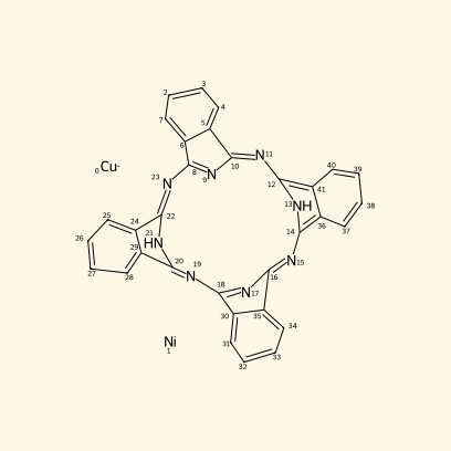 [Cu].[Ni].c1ccc2c(c1)-c1nc-2nc2[nH]c(nc3nc(nc4[nH]c(n1)c1ccccc41)-c1ccccc1-3)c1ccccc21